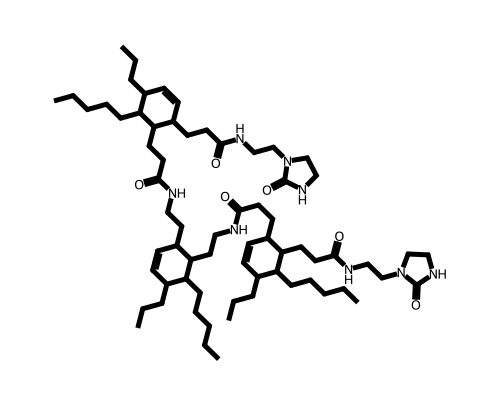 CCCCCC1C(CCC)C=CC(CCNC(=O)CCC2C(CCC(=O)NCCN3CCNC3=O)C=CC(CCC)C2CCCCC)C1CCNC(=O)CCC1C=CC(CCC)C(CCCCC)C1CCC(=O)NCCN1CCNC1=O